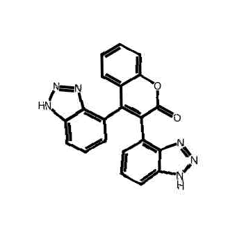 O=c1oc2ccccc2c(-c2cccc3[nH]nnc23)c1-c1cccc2[nH]nnc12